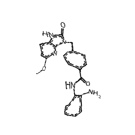 COc1ccc2[nH]c(=O)n(Cc3ccc(C(=O)Nc4ccccc4N)cc3)c2n1